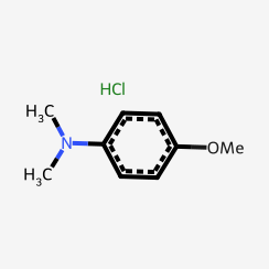 COc1ccc(N(C)C)cc1.Cl